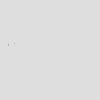 CC(=CCN)c1ccc(-c2cccc(F)c2)cc1